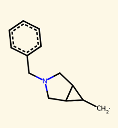 [CH2]C1C2CN(Cc3ccccc3)CC12